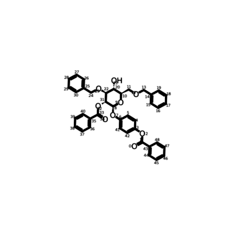 O=C(Oc1ccc(O[C@@H]2O[C@H](COCc3ccccc3)[C@@H](O)[C@H](OCc3ccccc3)[C@H]2OC(=O)c2ccccc2)cc1)c1ccccc1